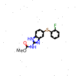 COC(=O)Nc1nc2cc(Sc3ccccc3F)ccc2[nH]1